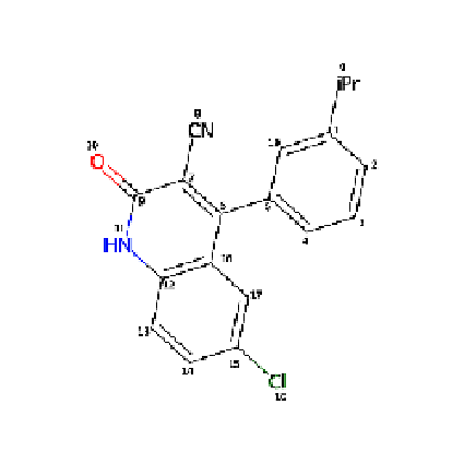 CC(C)c1cccc(-c2c(C#N)c(=O)[nH]c3ccc(Cl)cc23)c1